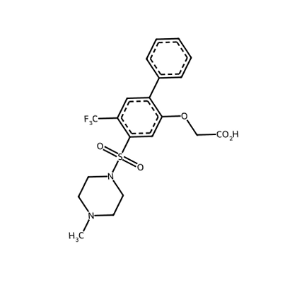 CN1CCN(S(=O)(=O)c2cc(OCC(=O)O)c(-c3ccccc3)cc2C(F)(F)F)CC1